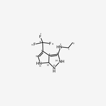 CCNC1=C2C(C(F)(F)F)=CNC2NN1